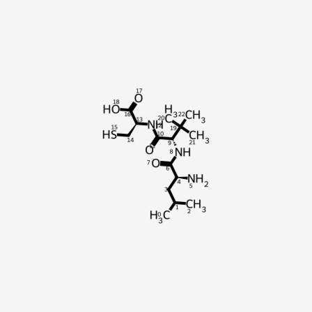 CC(C)C[C@H](N)C(=O)N[C@H](C(=O)N[C@@H](CS)C(=O)O)C(C)(C)C